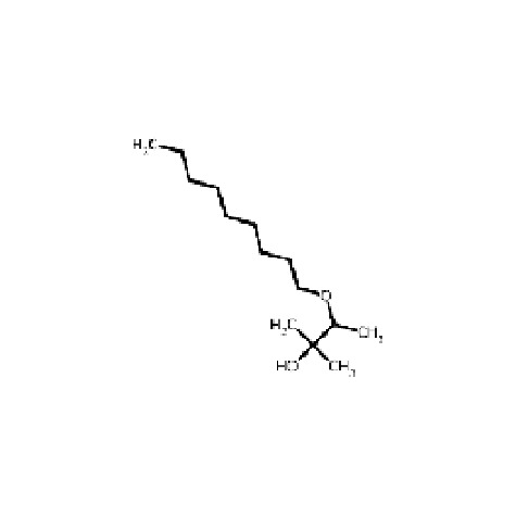 CCCCCCCCCOC(C)C(C)(C)O